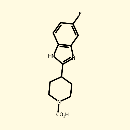 O=C(O)N1CCC(c2nc3cc(F)ccc3[nH]2)CC1